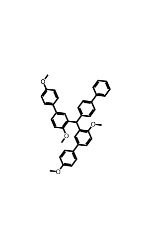 COc1ccc(-c2ccc(OC)c(C(c3ccc(-c4ccccc4)cc3)c3cc(-c4ccc(OC)cc4)ccc3OC)c2)cc1